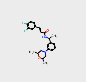 CC1CN(c2cccc(C(C)NC(=O)C=Cc3ccc(F)c(F)c3)c2)CC(C)O1